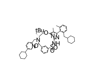 Cc1cccc(CC2CCCCC2)c1-c1nc2nc(c1C)OC[C@@H](CC(C)(C)C)N(Cc1ccc(C3CCCCC3)cn1)C(=O)c1cccc(c1)S(=O)(=O)N2